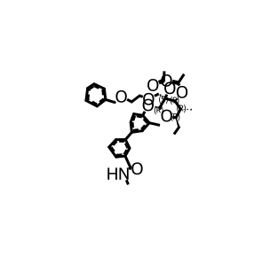 CC[C@H]1O[C@H](Oc2ccc(-c3cccc(C(=O)NC)c3)cc2C)[C@@](COCCOCc2ccccc2)(OC(C)=O)[C@@H](OC(C)=O)[C@@H]1C